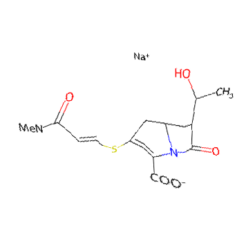 CNC(=O)C=CSC1=C(C(=O)[O-])N2C(=O)C(C(C)O)C2C1.[Na+]